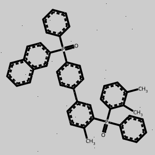 Cc1ccc(-c2ccc(P(=O)(c3ccccc3)c3ccc4ccccc4c3)cc2)cc1P(=O)(c1ccccc1)c1cccc(C)c1C